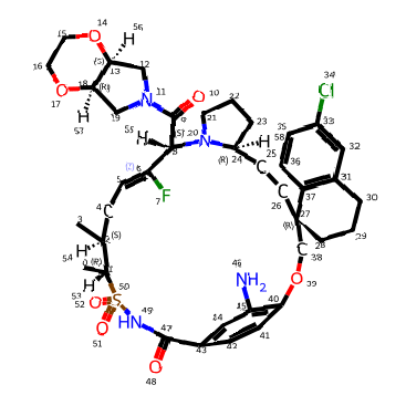 C[C@@H]1[C@@H](C)C/C=C(\F)[C@H](C(=O)N2C[C@@H]3OCCO[C@@H]3C2)N2CCC[C@H]2CC[C@@]2(CCCc3cc(Cl)ccc32)COc2ccc(cc2N)C(=O)NS1(=O)=O